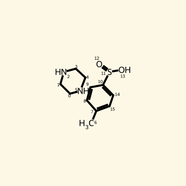 C1CNCCN1.Cc1ccc(S(=O)O)cc1